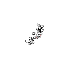 c1ccc(N(c2ccc3c4c(c5ccccc5c3c2)-c2cc(N(c3ccccc3)c3cccc5c3oc3c(C6CCCCC6)cccc35)c3ccccc3c2C42c3ccccc3-c3ccccc32)c2cccc3c2oc2c(C4CCCCC4)cccc23)cc1